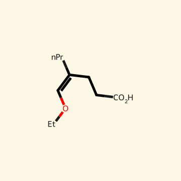 CCCC(=COCC)CCC(=O)O